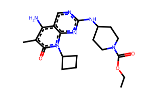 CCOC(=O)N1CCC(Nc2ncc3c(N)c(C)c(=O)n(C4CCC4)c3n2)CC1